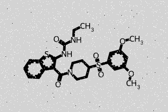 CCNC(=O)Nc1sc2ccccc2c1C(=O)N1CCC(S(=O)(=O)c2cc(OC)cc(OC)c2)CC1